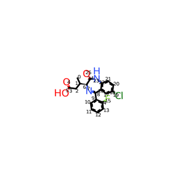 CC(CC(=O)O)[C@@H]1N=C(c2ccccc2F)c2cc(Cl)ccc2NC1=O